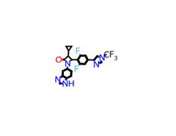 O=C1C(C2CC2)C(c2c(F)cc(-c3cn(C(F)(F)F)cn3)cc2F)N1c1ccc2[nH]cnc2c1